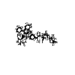 CC(C)n1nccc1C(=O)N[C@H](C(=O)Nc1ccc([C@H](C)C(=O)NCC(F)(F)CNC(=O)OC(C)(C)C)cc1F)C(C1CCCCC1)C1CCCCC1